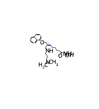 CN(C)CCCNC/C(=C\CCCCC(=O)NO)COc1cccc2ccccc12